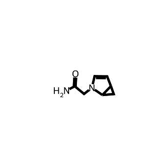 NC(=O)CN1C=CC2CC21